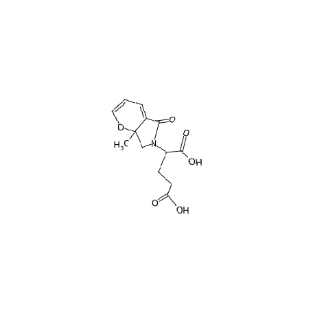 CC12CN(C(CCC(=O)O)C(=O)O)C(=O)C1=CC=CO2